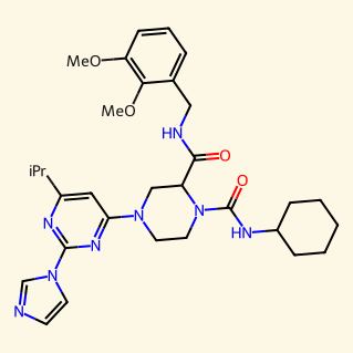 COc1cccc(CNC(=O)C2CN(c3cc(C(C)C)nc(-n4ccnc4)n3)CCN2C(=O)NC2CCCCC2)c1OC